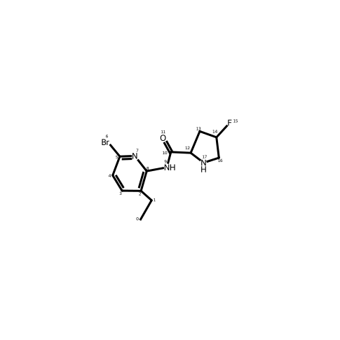 CCc1ccc(Br)nc1NC(=O)C1CC(F)CN1